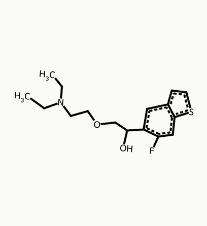 CCN(CC)CCOCC(O)c1cc2ccsc2cc1F